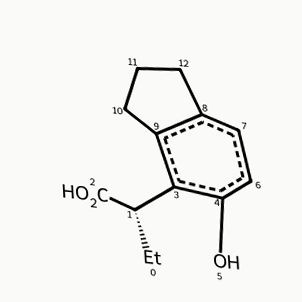 CC[C@H](C(=O)O)c1c(O)ccc2c1CCC2